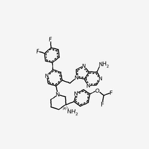 Nc1ncnc2c1ncn2Cc1cc(-c2ccc(F)c(F)c2)ncc1N1CCC[C@](N)(c2ccc(OC(F)F)cn2)C1